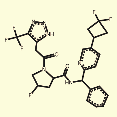 O=C(NC(c1ccccc1)c1ccc(C2CC(F)(F)C2)cn1)C1CC(F)CN1C(=O)Cc1[nH]nnc1C(F)(F)F